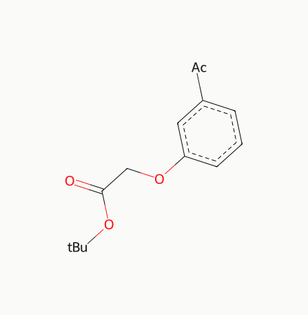 CC(=O)c1cccc(OCC(=O)OC(C)(C)C)c1